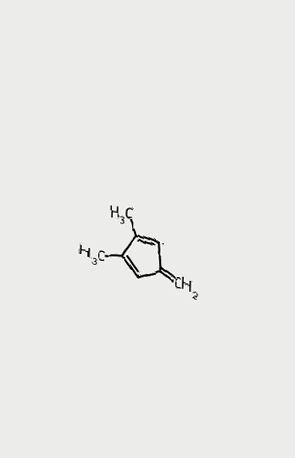 C=C1[C]=C(C)C(C)=C1